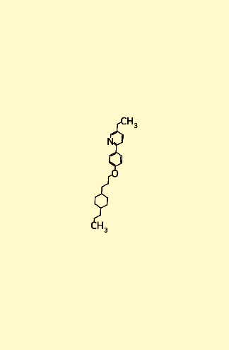 CCCC1CCC(CCCOc2ccc(-c3ccc(CC)cn3)cc2)CC1